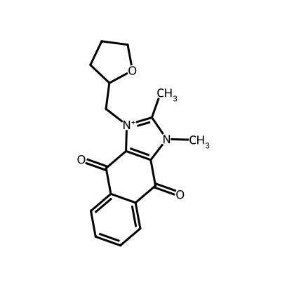 Cc1n(C)c2c([n+]1CC1CCCO1)C(=O)c1ccccc1C2=O